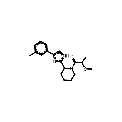 CSC(C)C(=O)N1CCCCC1c1nc(-c2cccc(C)c2)c[nH]1